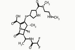 CNCCN(C)C(=O)[C@@H]1C[C@H](SC2=C(C(=O)O)N3C(=O)[C@H](C(C)NC(=O)C(F)F)[C@H]3[C@H]2C)CN1